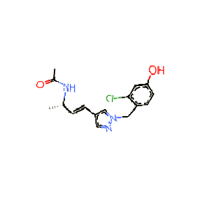 CC(=O)N[C@@H](C)/C=C/c1cnn(Cc2ccc(O)cc2Cl)c1